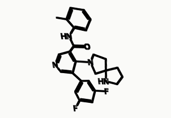 Cc1ccccc1NC(=O)c1cncc(-c2cc(F)cc(F)c2)c1N1CCC2(CCCN2)C1